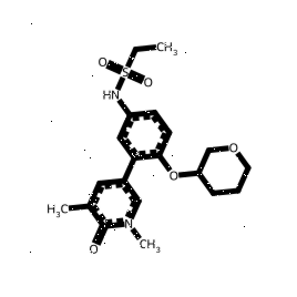 CCS(=O)(=O)Nc1ccc(OC2CCCOC2)c(-c2cc(C)c(=O)n(C)c2)c1